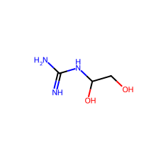 N=C(N)NC(O)CO